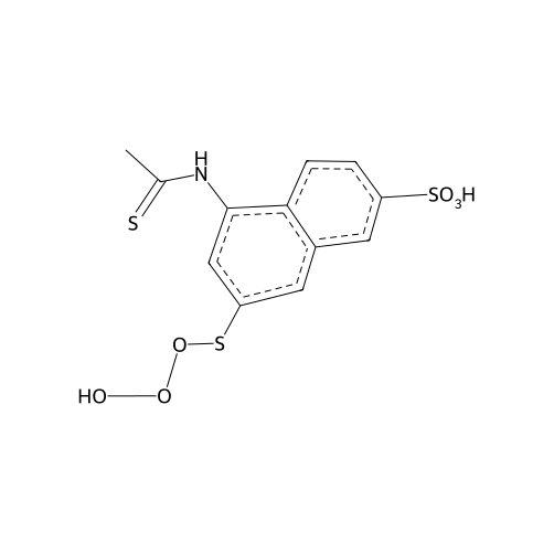 CC(=S)Nc1cc(SOOO)cc2cc(S(=O)(=O)O)ccc12